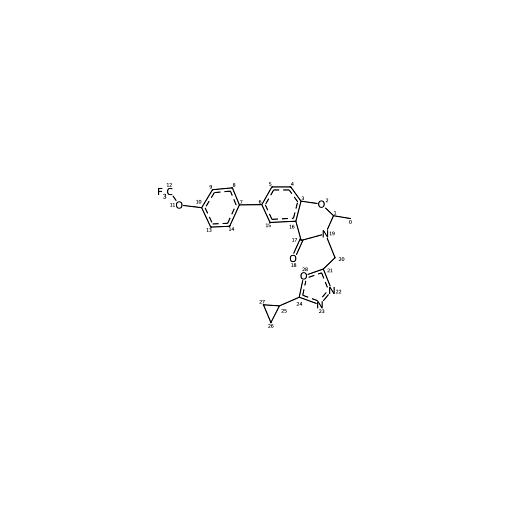 CC1Oc2ccc(-c3ccc(OC(F)(F)F)cc3)cc2C(=O)N1Cc1nnc(C2CC2)o1